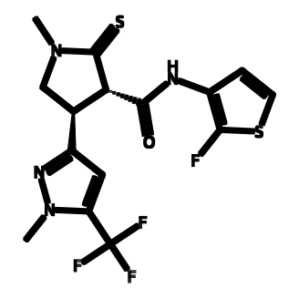 CN1C[C@H](c2cc(C(F)(F)F)n(C)n2)[C@@H](C(=O)Nc2ccsc2F)C1=S